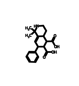 CC1(C)NCCC2C1=CC(c1ccccc1)C(C(=O)O)C2C(=O)O